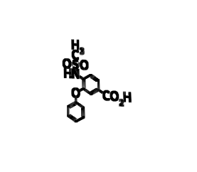 CS(=O)(=O)Nc1ccc(C(=O)O)cc1Oc1ccccc1